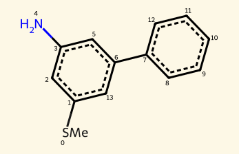 CSc1cc(N)cc(-c2ccccc2)c1